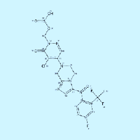 O=C(c1ccc(F)cc1C(F)(F)F)c1cnc2n1CCN(c1cnn(COS(=O)O)c(=O)c1Cl)C2